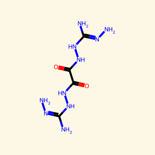 NN=C(N)NNC(=O)C(=O)NNC(N)=NN